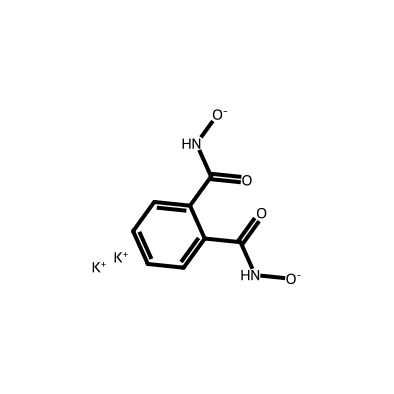 O=C(N[O-])c1ccccc1C(=O)N[O-].[K+].[K+]